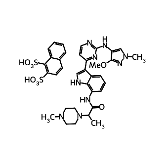 COc1nn(C)cc1Nc1nccc(-c2c[nH]c3c(NC(=O)C(C)N4CCN(C)CC4)cccc23)n1.O=S(=O)(O)c1ccc2ccccc2c1S(=O)(=O)O